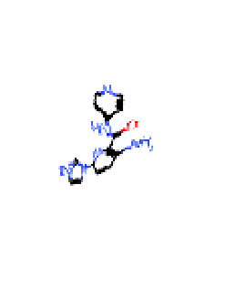 Nc1ccc(-n2ccnc2)nc1C(=O)Nc1ccncc1